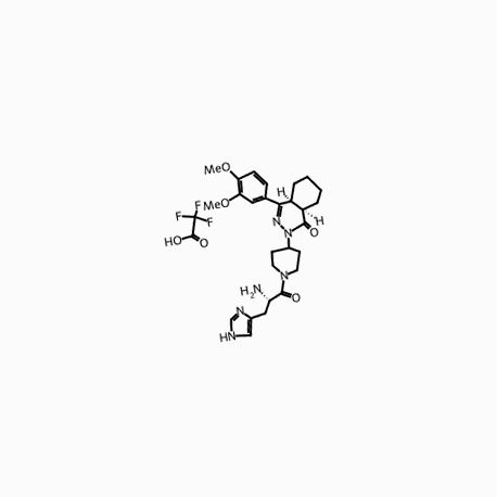 COc1ccc(C2=NN(C3CCN(C(=O)[C@@H](N)Cc4c[nH]cn4)CC3)C(=O)[C@@H]3CCCC[C@H]23)cc1OC.O=C(O)C(F)(F)F